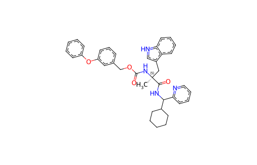 C[C@@](Cc1c[nH]c2ccccc12)(NC(=O)OCc1cccc(Oc2ccccc2)c1)C(=O)NC(c1ccccn1)C1CCCCC1